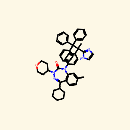 Cc1ccc2c(c1)N(c1ccc(C(C)(c3ncc[nH]3)C(c3ccccc3)(c3ccccc3)c3ccccc3)cc1)C(=O)N(C1CCOCC1)N=C2C1CCCCC1